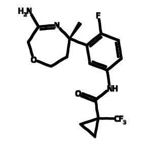 C[C@@]1(c2cc(NC(=O)C3(C(F)(F)F)CC3)ccc2F)CCOCC(N)=N1